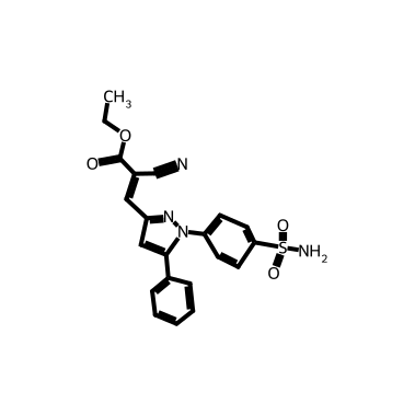 CCOC(=O)/C(C#N)=C/c1cc(-c2ccccc2)n(-c2ccc(S(N)(=O)=O)cc2)n1